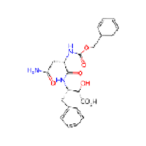 NC(=O)C[C@H](NC(=O)OCc1ccccc1)C(=O)N[C@@H](Cc1ccccc1)[C@H](O)C(=O)O